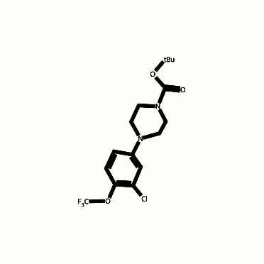 CC(C)(C)OC(=O)N1CCN(c2ccc(OC(F)(F)F)c(Cl)c2)CC1